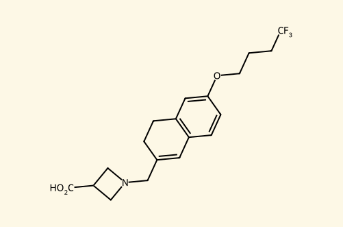 O=C(O)C1CN(CC2=Cc3ccc(OCCCC(F)(F)F)cc3CC2)C1